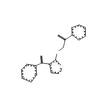 O=C(COc1[nH]ncc1C(=O)c1ccccc1)c1ccccc1